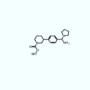 CC(C)(C)OC(=O)N1CCCC(c2ccc(C(N)N3CCCC3)cc2)C1